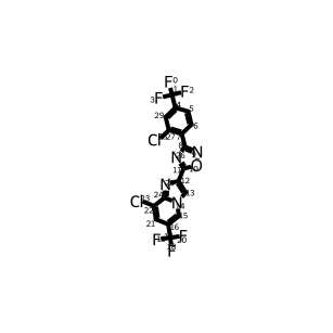 FC(F)(F)c1ccc(-c2noc(-c3cn4cc(C(F)(F)F)cc(Cl)c4n3)n2)c(Cl)c1